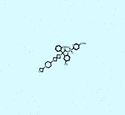 COc1ccc(S(=O)(=O)N2C(=O)C(c3ccccc3OC)(N3CC4(CN(C5CCN(C6COC6)CC5)C4)C3)c3cc(C#N)ccc32)nc1